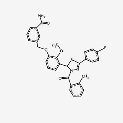 COc1c(OCc2cccc(C(N)=O)c2)cccc1C1SC(c2ccc(F)cc2)=NN1C(=O)c1ccccc1C